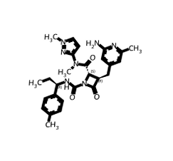 CC[C@@H](NC(=O)N1C(=O)[C@H](Cc2cc(C)nc(N)c2)[C@H]1C(=O)N(C)c1ccn(C)n1)c1ccc(C)cc1